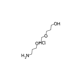 Cl.NCCCOCCOCCCO